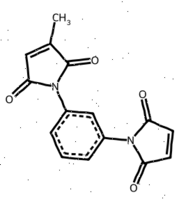 CC1=CC(=O)N(c2cccc(N3C(=O)C=CC3=O)c2)C1=O